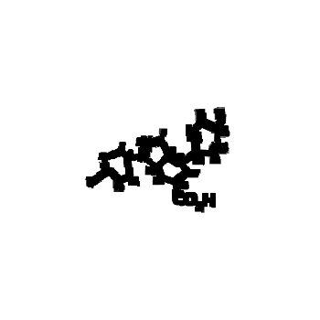 Cc1ccc(-n2ncc3c(-c4ccc(C)cn4)cc(C(=O)O)cc32)cc1